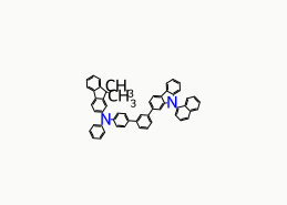 CC1(C)c2ccccc2-c2ccc(N(c3ccccc3)c3ccc(-c4cccc(-c5ccc6c7ccccc7n(-c7cccc8ccccc78)c6c5)c4)cc3)cc21